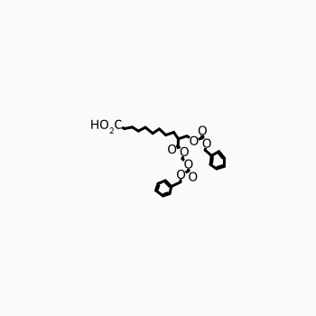 O=C(O)CCCCCCCCC(COC(=O)OCc1ccccc1)C(=O)OCOC(=O)OCc1ccccc1